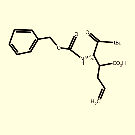 C=CCC(C(=O)O)[C@H](NC(=O)OCc1ccccc1)C(=O)C(C)(C)C